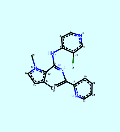 C=C(/N=C(/Nc1ccncc1F)c1c(CC)ccn1C)c1ccccn1